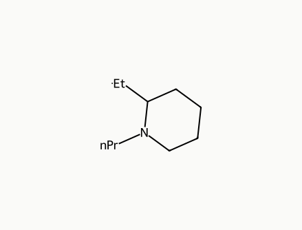 C[CH]C1CCCCN1CCC